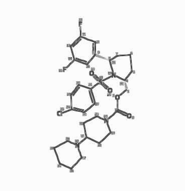 O=C(OC[C@H]1CCC[C@@H](c2cc(F)cc(F)c2)N1S(=O)(=O)c1ccc(Cl)cc1)N1CCC(N2CCCCC2)CC1